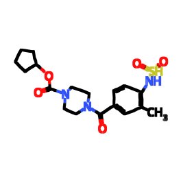 Cc1cc(C(=O)N2CCN(C(=O)OC3CCCC3)CC2)ccc1N[SH](=O)=O